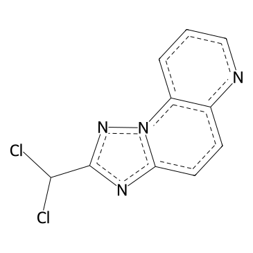 ClC(Cl)c1nc2ccc3ncccc3n2n1